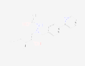 CC[C@H](C)[C@@H](O)CN(Cc1ccc(-c2ccccn2)cc1)NB(C)O